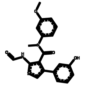 COc1cccc(N(C)C(=O)c2c(-c3cccc(O)c3)csc2NC=O)c1